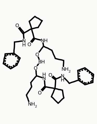 NCCCC(NC(=O)C1(C(=O)NCc2ccccc2)CCCC1)OBOC(CCCN)NC(=O)C1(C(=O)NCc2ccccc2)CCCC1